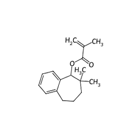 C=C(C)C(=O)OC1c2ccccc2CCCC1(C)C